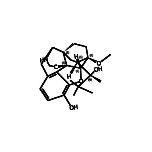 CO[C@]12CC[C@@]3(C[C@H]1[C@](C)(O)C(C)(C)C)C1Cc4ccc(O)c5c4[C@@]3(CCN1)[C@H]2O5